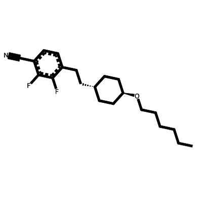 CCCCCCO[C@H]1CC[C@H](CCc2ccc(C#N)c(F)c2F)CC1